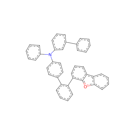 c1ccc(-c2cccc(N(c3ccccc3)c3ccc(-c4ccccc4-c4cccc5c4oc4ccccc45)cc3)c2)cc1